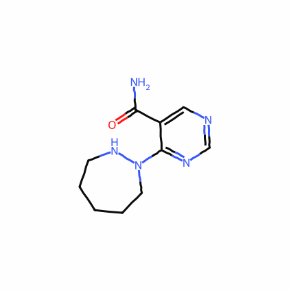 NC(=O)c1cncnc1N1CCCCCN1